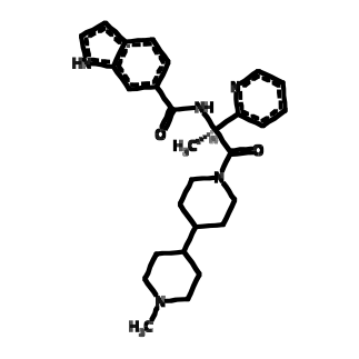 CN1CCC(C2CCN(C(=O)[C@@](C)(NC(=O)c3ccc4cc[nH]c4c3)c3ccccn3)CC2)CC1